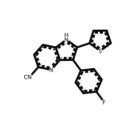 [C-]#[N+]c1ccc2[nH]c(-c3cccs3)c(-c3ccc(F)cc3)c2n1